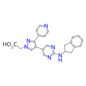 O=C(O)Cn1cc(-c2cnc(NC3Cc4ccccc4C3)nc2)c(-c2ccncc2)n1